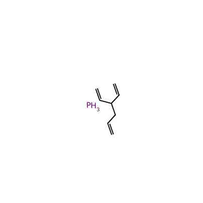 C=CCC(C=C)C=C.P